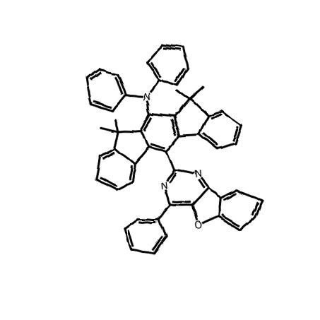 CC1(C)c2ccccc2-c2c(-c3nc(-c4ccccc4)c4oc5ccccc5c4n3)c3c(c(N(c4ccccc4)c4ccccc4)c21)C(C)(C)c1ccccc1-3